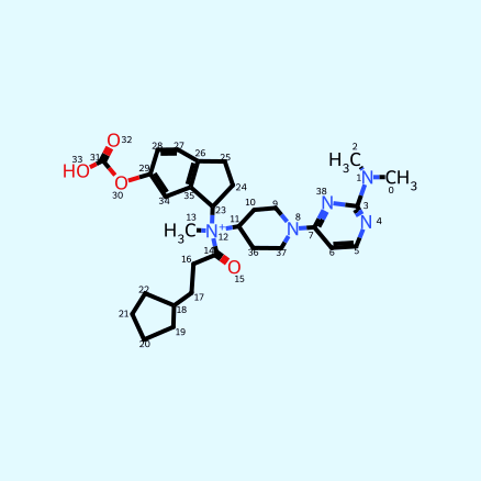 CN(C)c1nccc(N2CCC([N+](C)(C(=O)CCC3CCCC3)C3CCc4ccc(OC(=O)O)cc43)CC2)n1